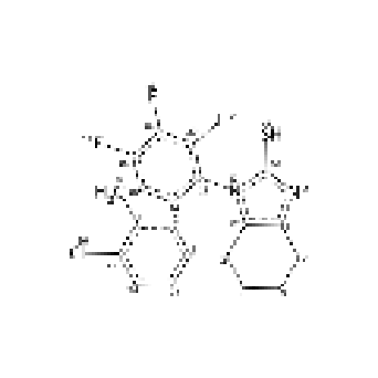 Cc1cc(C2CCCc3nc(S)n(-c4ccc(F)c(F)c4F)c32)ccc1Cl